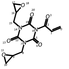 C=CC(=O)n1c(=O)n(CC2CO2)c(=O)n(CC2CO2)c1=O